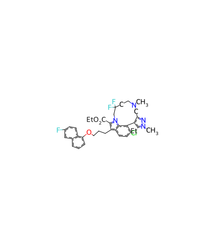 CCOC(=O)c1c(CCCOc2cccc3cc(F)ccc23)c2ccc(Cl)c3c2n1CC(F)(F)CCN(C)Cc1nn(C)c(CC)c1-3